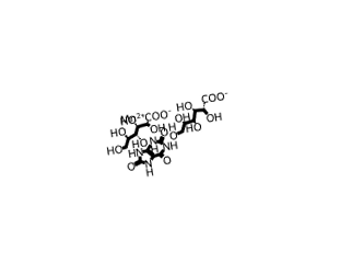 O=C([O-])[C@H](O)[C@@H](O)[C@H](O)[C@H](O)CO.O=C([O-])[C@H](O)[C@@H](O)[C@H](O)[C@H](O)CO.O=c1[nH]c(=O)c2[nH]c(=O)[nH]c2[nH]1.[Mn+2]